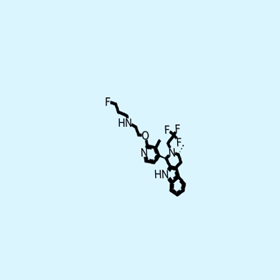 Cc1c([C@@H]2c3[nH]c4ccccc4c3C[C@@H](C)N2CC(F)(F)F)ccnc1OCCNCCCF